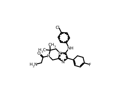 CC1(C)Cn2c(nc(C3=CC=C(F)CC3)c2Nc2ccc(Cl)cc2)CN1C(=O)CN